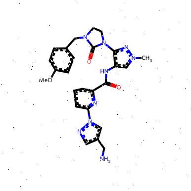 COc1ccc(CN2CCN(c3nn(C)cc3NC(=O)c3cccc(-n4cc(CN)cn4)n3)C2=O)cc1